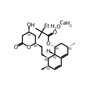 CCC(C)(C)C(=O)O[C@@H]1C[C@H](C)C=C2C=C[C@@H](C)[C@@H](CC[C@@H]3C[C@H](O)CC(=O)O3)[C@@H]21.O.[CaH2]